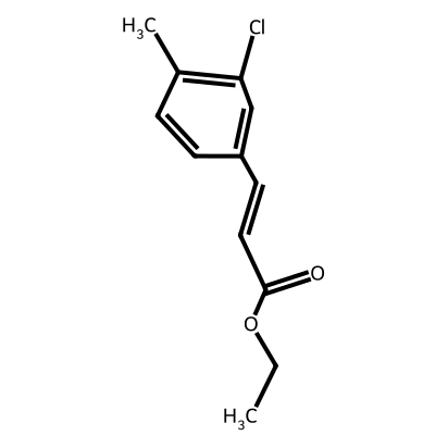 CCOC(=O)C=Cc1ccc(C)c(Cl)c1